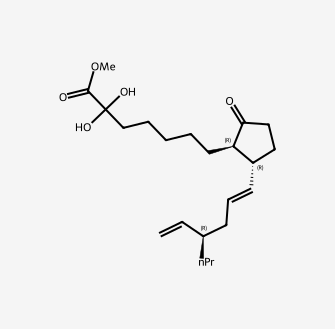 C=C[C@@H](CC=C[C@H]1CCC(=O)[C@@H]1CCCCCC(O)(O)C(=O)OC)CCC